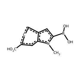 Cn1c(B(O)O)cc2ccc(C(=O)O)cc21